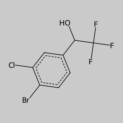 OC(c1ccc(Br)c(Cl)c1)C(F)(F)F